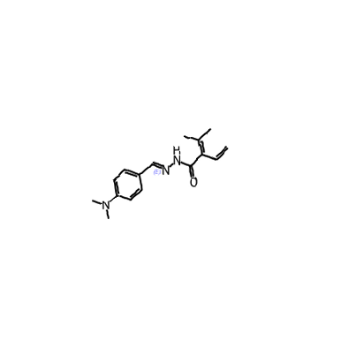 C=CC(C(=O)N/N=C/c1ccc(N(C)C)cc1)=C(C)C